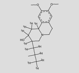 [2H]C([2H])([2H])C([2H])(C)C([2H])([2H])C1([2H])CN2CCc3cc(OC)c(OC)cc3C2([2H])C([2H])([2H])C1([2H])O